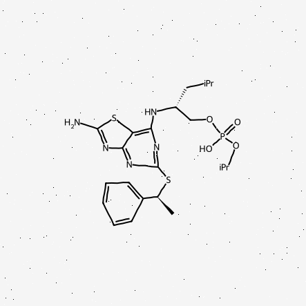 CC(C)C[C@H](COP(=O)(O)OC(C)C)Nc1nc(S[C@@H](C)c2ccccc2)nc2nc(N)sc12